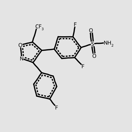 NS(=O)(=O)c1c(F)cc(-c2c(-c3ccc(F)cc3)noc2C(F)(F)F)cc1F